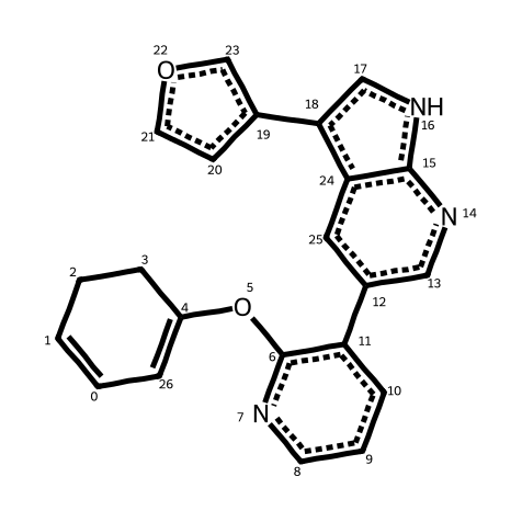 C1=CCCC(Oc2ncccc2-c2cnc3[nH]cc(-c4ccoc4)c3c2)=C1